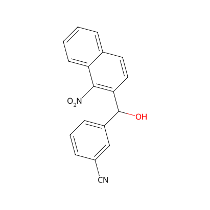 N#Cc1cccc(C(O)c2ccc3ccccc3c2[N+](=O)[O-])c1